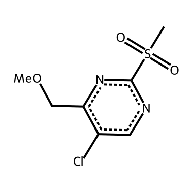 COCc1nc(S(C)(=O)=O)ncc1Cl